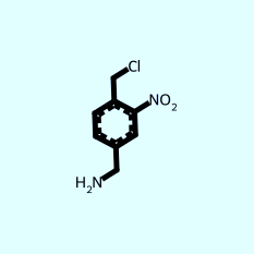 NCc1ccc(CCl)c([N+](=O)[O-])c1